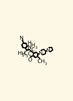 CCc1cc(C=O)c(C(C)(C)c2[nH]c3cc(C#N)ccc3c2C)cc1N1CCC(N2CCCC2)CC1